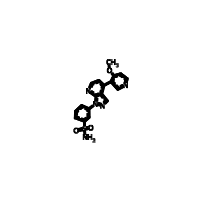 COc1ccncc1-c1ccnc2c1cnn2-c1cccc(S(N)(=O)=O)c1